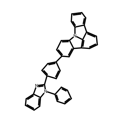 c1ccc(-n2c(-c3ccc(-c4ccc5c(c4)c4cccc6c7ccccc7n5c64)cc3)nc3ccccc32)cc1